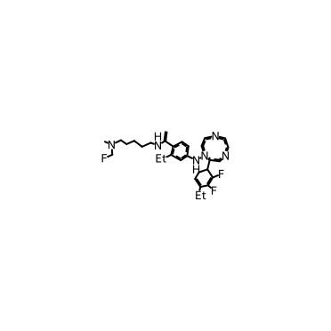 C=C(NCCCCCN(C)CF)c1ccc(Nn2ccnccncc2C2CC=C(CC)C(F)=C2F)cc1CC